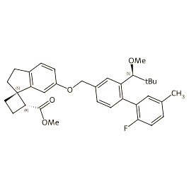 COC(=O)[C@@H]1CC[C@]12CCc1ccc(OCc3ccc(-c4cc(C)ccc4F)c([C@@H](OC)C(C)(C)C)c3)cc12